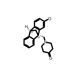 O=C1CCN(C[C@@]23C[C@@H](c4ccccc42)c2ccc(Cl)cc23)CC1